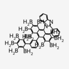 Bc1c(B)c(B)c(-c2cccc(-c3c4c(B)c(B)c(B)c(B)c4c(-n4c(-c5ccccc5)nc5ccccc54)c4c(B)c(B)c(B)c(B)c34)c2)c(B)c1B